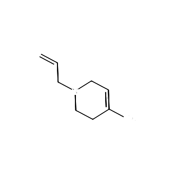 C=CCN1CC=C(C(C)(C)C)CC1